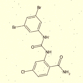 NC(=O)c1ccc(Cl)cc1NC(=O)Nc1cc(Br)cc(Br)c1